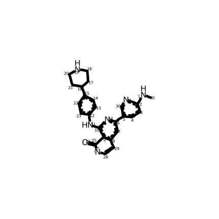 CNc1ccc(-c2cc3c(c(Nc4ccc(C5CCNCC5)cc4)n2)C(=O)[N]C=C3)cn1